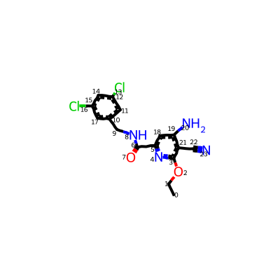 CCOc1nc(C(=O)NCc2cc(Cl)cc(Cl)c2)cc(N)c1C#N